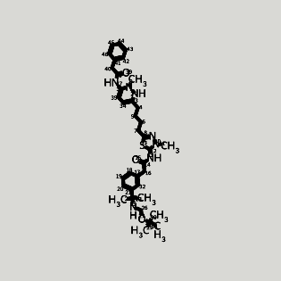 CN1NC(CCCCC2=NN(C)C(NC(=O)Cc3cccc(C(C)(C)NCOC(C)(C)C)c3)S2)=CC=C1NC(=O)Cc1ccccc1